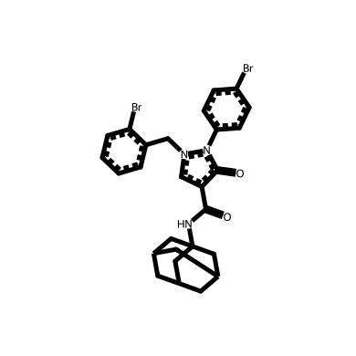 O=C(NC12CC3CC(CC(C3)C1)C2)c1cn(Cc2ccccc2Br)n(-c2ccc(Br)cc2)c1=O